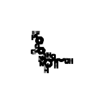 O=C(NCCCO)C1=Cc2c(ncnc2Nc2ccc(Oc3cccc(C(F)(F)F)c3)c(Cl)c2)NCC1